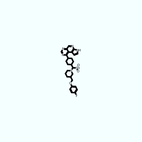 O=[SH](=O)C(C1CCC(c2ncnc3cnc4[nH]ccc4c23)CC1)N1CCCC(COc2ccc(F)cc2)C1